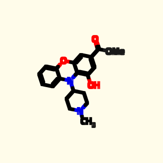 COC(=O)c1cc(O)c2c(c1)Oc1ccccc1N2C1CCN(C)CC1